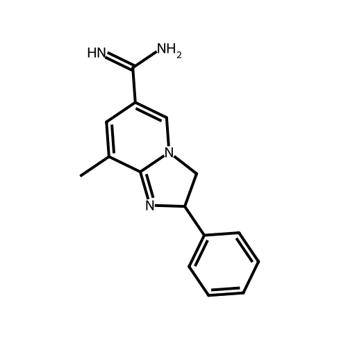 CC1=CC(C(=N)N)=CN2CC(c3ccccc3)N=C12